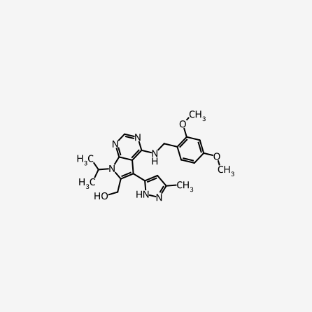 COc1ccc(CNc2ncnc3c2c(-c2cc(C)n[nH]2)c(CO)n3C(C)C)c(OC)c1